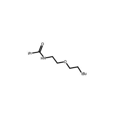 CC(C)C(=O)NCCOCCC(C)(C)C